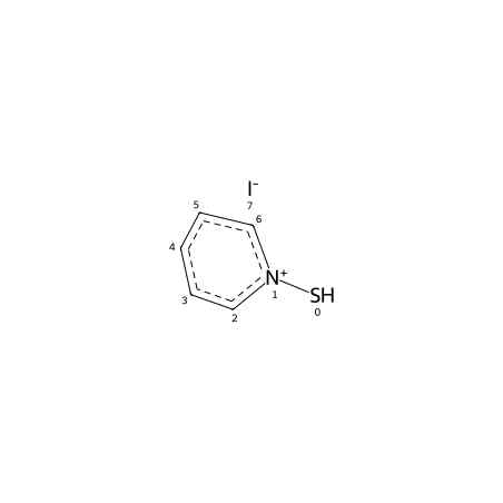 S[n+]1ccccc1.[I-]